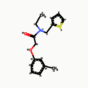 CCN(Cc1cccs1)C(=O)COc1cccc(C)c1